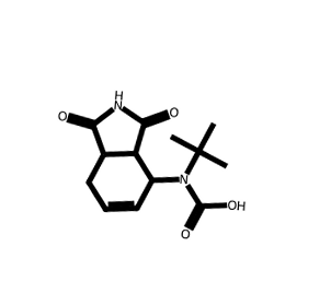 CC(C)(C)N(C(=O)O)C1C=CCC2C(=O)NC(=O)C21